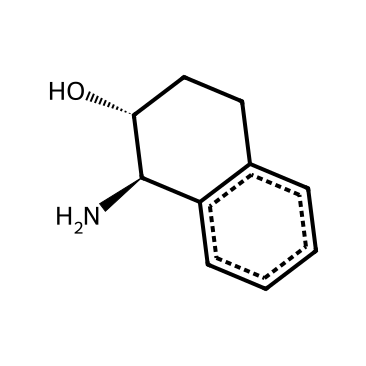 N[C@@H]1c2ccccc2CC[C@H]1O